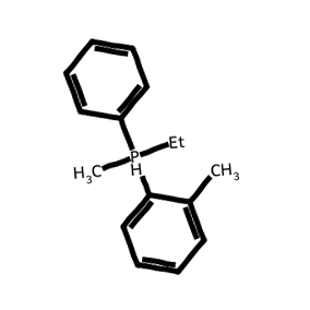 CC[PH](C)(c1ccccc1)c1ccccc1C